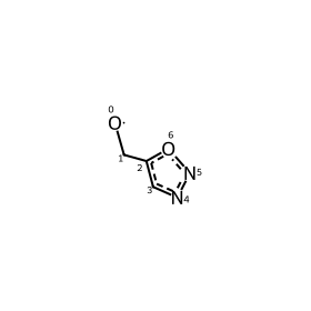 [O]Cc1cnno1